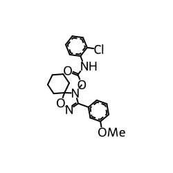 COc1cccc(C2=NOC3(CCCCC3)N2OC(=O)Nc2ccccc2Cl)c1